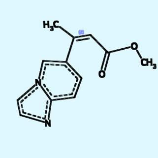 COC(=O)/C=C(/C)c1ccc2nccn2c1